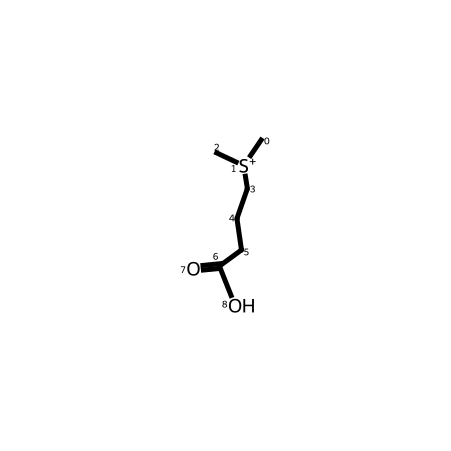 C[S+](C)CCCC(=O)O